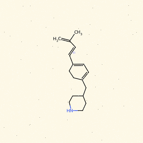 C=C(C)/C=C/C1=CC=C(CC2CCNCC2)CC1